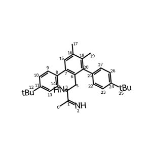 CC(=N)C(=N)Cc1c(-c2ccc(C(C)(C)C)cc2)cc(C)c(C)c1-c1ccc(C(C)(C)C)cc1